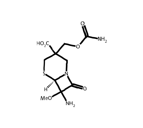 COC1(N)C(=O)N2CC(COC(N)=O)(C(=O)O)CS[C@@H]21